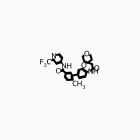 Cc1ccc(C(=O)Nc2ccnc(C(F)(F)F)c2)cc1-c1ccc2c(c1)OC1(CCOCC1)CC(=O)N2